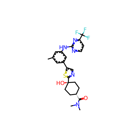 Cc1cc(Nc2nccc(C(F)(F)F)n2)cc(-c2cnc([C@]3(O)CC[C@H](C(=O)N(C)C)CC3)s2)c1